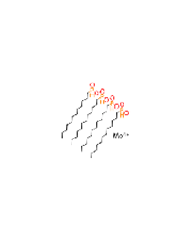 CCCCCCCCCCCC[PH](=O)[O-].CCCCCCCCCCCC[PH](=O)[O-].CCCCCCCCCCCC[PH](=O)[O-].CCCCCCCCCCCC[PH](=O)[O-].[Mo+4]